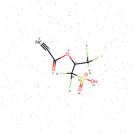 C#CC(=O)OC(C(F)(F)F)C(F)(F)S(=O)(=O)O